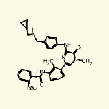 CCCCc1ccccc1C(=O)Nc1cccc(-c2cn(C)c(=O)c(Nc3ccc(CNCC4CC4)cc3)n2)c1C